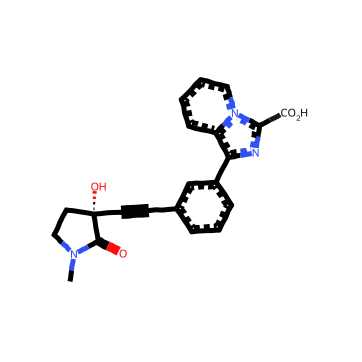 CN1CC[C@@](O)(C#Cc2cccc(-c3nc(C(=O)O)n4ccccc34)c2)C1=O